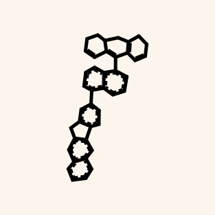 C1=CC2=C(CC1)CC1CCC=CC1=C2c1cccc2c(-c3ccc4c(c3)Cc3cc5ccccc5cc3-4)cccc12